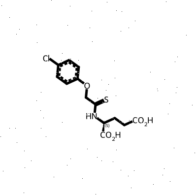 O=C(O)CC[C@H](NC(=S)COc1ccc(Cl)cc1)C(=O)O